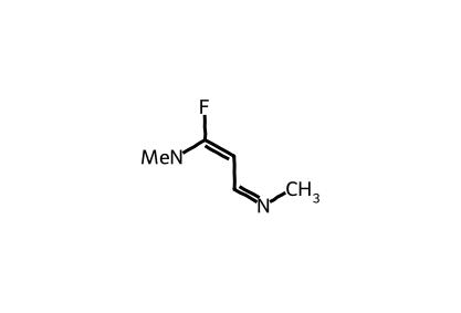 C/N=C\C=C(\F)NC